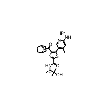 Cc1cc(NC(C)C)ncc1-c1sc(C(=O)N[C@H](C)C(C)(C)O)nc1C(=O)N1C2CCC1CC2